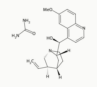 C=C[C@H]1C[N@]2CC[C@H]1C[C@H]2[C@@H](O)c1ccnc2ccc(OC)cc12.NC(N)=O